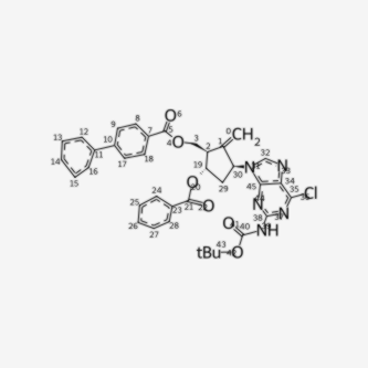 C=C1[C@H](COC(=O)c2ccc(-c3ccccc3)cc2)[C@@H](OC(=O)c2ccccc2)C[C@@H]1n1cnc2c(Cl)nc(NC(=O)OC(C)(C)C)nc21